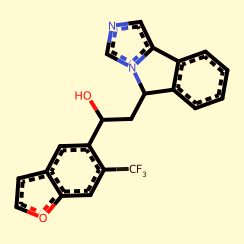 OC(CC1c2ccccc2-c2cncn21)c1cc2ccoc2cc1C(F)(F)F